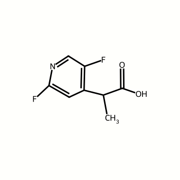 CC(C(=O)O)c1cc(F)ncc1F